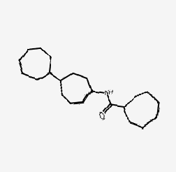 O=C(NC1CCCC(C2CCCCCC2)CC1)C1CCCCCC1